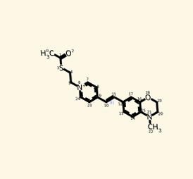 CC(=O)SCC[n+]1ccc(/C=C/c2ccc3c(c2)OCCN3C)cc1